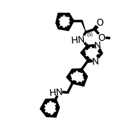 COC(=O)[C@H](Cc1ccccc1)Nc1cc(-c2ccc(CNc3ccccc3)cc2)ncn1